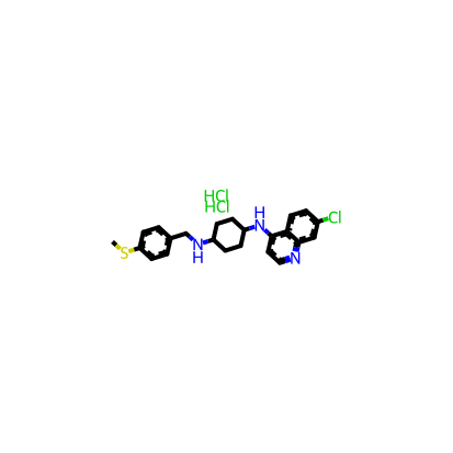 CSc1ccc(CNC2CCC(Nc3ccnc4cc(Cl)ccc34)CC2)cc1.Cl.Cl